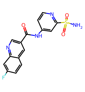 NS(=O)(=O)c1cc(NC(=O)c2cnc3cc(F)ccc3c2)ccn1